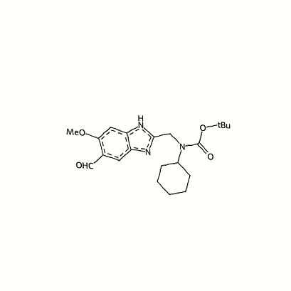 COc1cc2[nH]c(CN(C(=O)OC(C)(C)C)C3CCCCC3)nc2cc1C=O